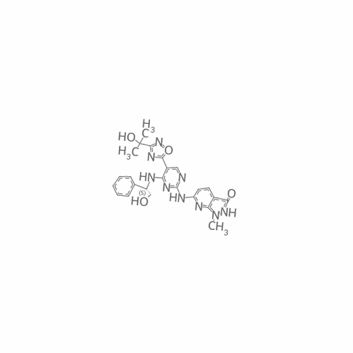 Cn1[nH]c(=O)c2ccc(Nc3ncc(-c4nc(C(C)(C)O)no4)c(N[C@H](CO)c4ccccc4)n3)nc21